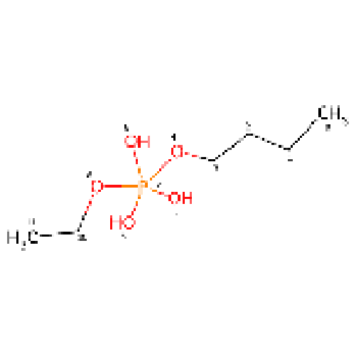 CCCCOP(O)(O)(O)OCC